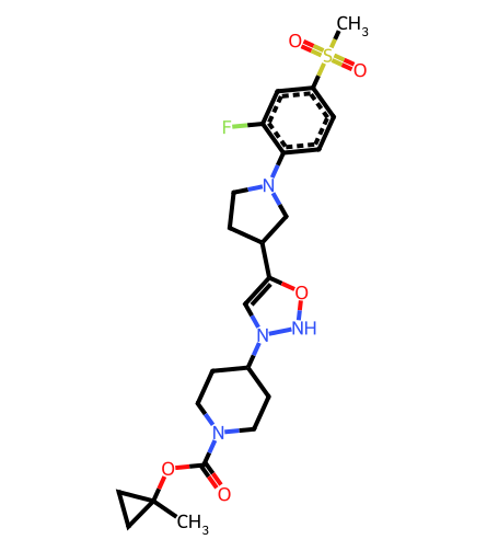 CC1(OC(=O)N2CCC(N3C=C(C4CCN(c5ccc(S(C)(=O)=O)cc5F)C4)ON3)CC2)CC1